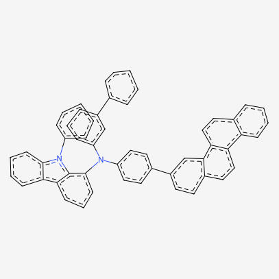 c1ccc(-c2cccc(N(c3ccc(-c4ccc5ccc6c7ccccc7ccc6c5c4)cc3)c3cccc4c5ccccc5n(-c5ccccc5)c34)c2)cc1